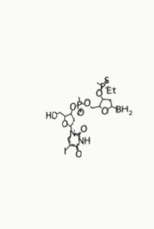 BC1CC(OP(C)(=S)CC)C(COP(C)(=O)OC2CC(n3cc(I)c(=O)[nH]c3=O)OC2CO)O1